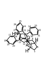 O=C(N1C[C@H]2CC[C@@H](C1)N2C(=O)Cc1c[nH]c2ccccc12)N(c1ccccc1)c1ccccc1